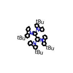 CC(C)(C)c1ccc2c(c1)c1ccccc1n2-c1cc(-c2cc(-n3c4ccccc4c4cc(C(C)(C)C)ccc43)cc(-n3c4ccccc4c4cc(C(C)(C)C)ccc43)c2)cc(-n2c3ccccc3c3cc(C(C)(C)C)ccc32)c1